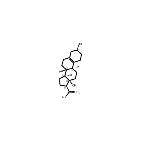 C=C(CCC)[C@H]1CC[C@H]2[C@@H]3CCC4=C(CC[C@H](O)C4)[C@H]3CC[C@]12C